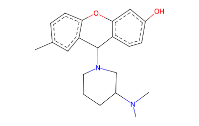 Cc1ccc2c(c1)C(N1CCCC(N(C)C)C1)c1ccc(O)cc1O2